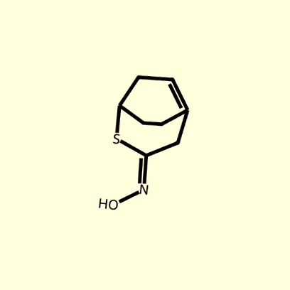 ON=C1CC2=CCC(CC2)S1